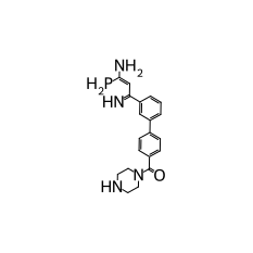 N=C(/C=C(/N)P)c1cccc(-c2ccc(C(=O)N3CCNCC3)cc2)c1